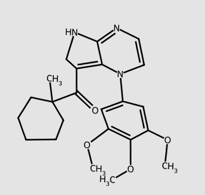 COc1cc(N2C=CN=C3NCC(C(=O)C4(C)CCCCC4)=C32)cc(OC)c1OC